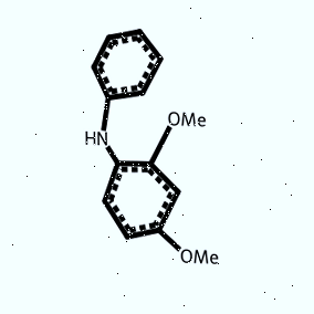 COc1ccc(Nc2ccccc2)c(OC)c1